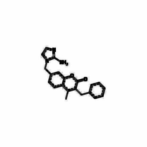 Cc1c(Cc2ccccc2)c(=O)oc2cc(Cn3ccnc3N)ccc12